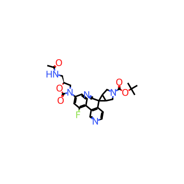 CC(=O)NC[C@H]1CN(c2ccc(-c3cnccc3C3(C#N)C4CN(C(=O)OC(C)(C)C)CC43)c(F)c2)C(=O)O1